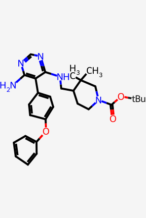 CC(C)(C)OC(=O)N1CCC(CNc2ncnc(N)c2-c2ccc(Oc3ccccc3)cc2)C(C)(C)C1